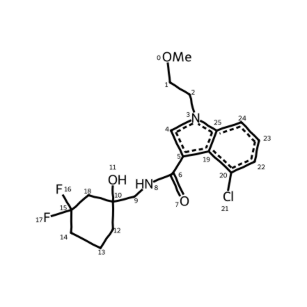 COCCn1cc(C(=O)NCC2(O)CCCC(F)(F)C2)c2c(Cl)cccc21